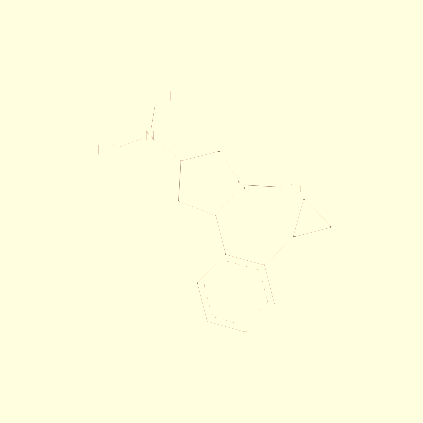 CN(C)C1CC(c2ccccc2C2CC2)N(C(C)(C)C)C1